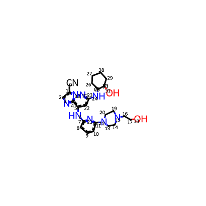 N#Cc1cnc2c(Nc3cccc(N4CCN(CCO)CC4)n3)cc(N[C@@H]3CCCC[C@H]3O)nn12